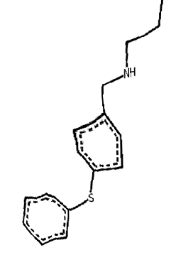 CCCNCc1ccc(Sc2ccccc2)cc1